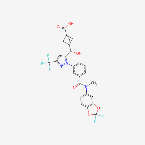 CN(C(=O)c1cccc(-n2nc(C(F)(F)F)cc2C(O)C23CC(C(=O)O)(C2)C3)c1)c1ccc2c(c1)OC(F)(F)O2